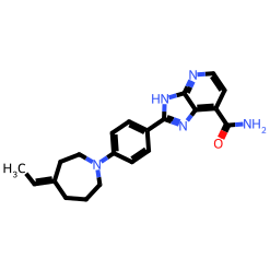 C/C=C1/CCCN(c2ccc(-c3nc4c(C(N)=O)ccnc4[nH]3)cc2)CC1